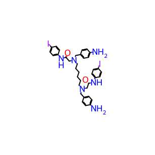 Nc1ccc(CN(CCCCCCN(CC(=O)Nc2ccc(I)cc2)Cc2ccc(N)cc2)CC(=O)Nc2ccc(I)cc2)cc1